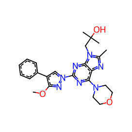 COc1nn(-c2nc(N3CCOCC3)c3nc(C)n(CC(C)(C)O)c3n2)cc1-c1ccccc1